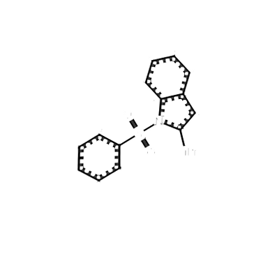 CC(C)c1cc2ccccc2n1S(=O)(=O)c1ccccc1